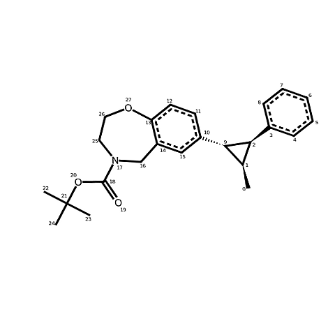 C[C@@H]1[C@H](c2ccccc2)[C@H]1c1ccc2c(c1)CN(C(=O)OC(C)(C)C)CCO2